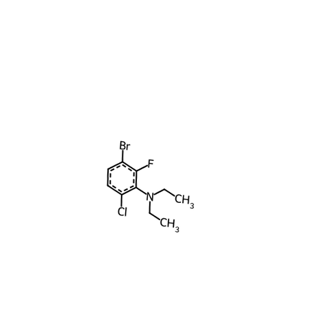 CCN(CC)c1c(Cl)ccc(Br)c1F